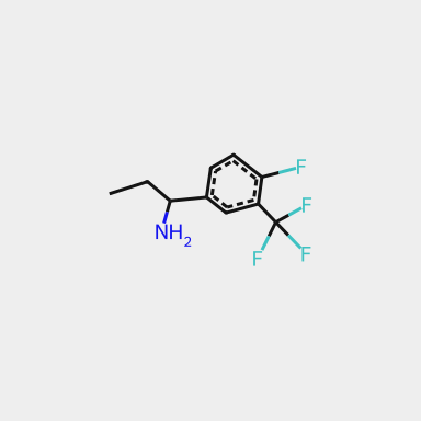 CCC(N)c1ccc(F)c(C(F)(F)F)c1